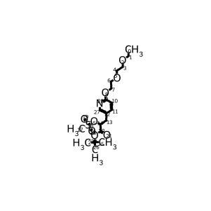 CCOCCOCCOc1ccc(CC(OS(C)(=O)=O)C(=O)OC(C)(C)C)cn1